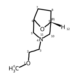 COCCN1CC2CC[C@H](C1)O2